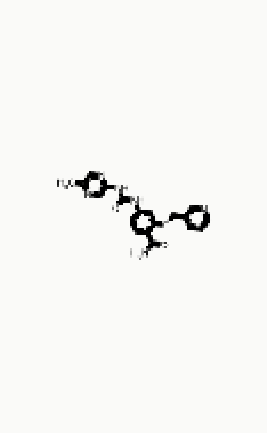 Cc1cnc(NC(=O)Nc2ccc(C(N)=O)c(OCc3cccnc3)c2)cn1